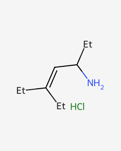 CCC(=CC(N)CC)CC.Cl